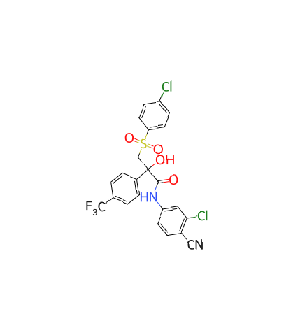 N#Cc1ccc(NC(=O)C(O)(CS(=O)(=O)c2ccc(Cl)cc2)c2ccc(C(F)(F)F)cc2)cc1Cl